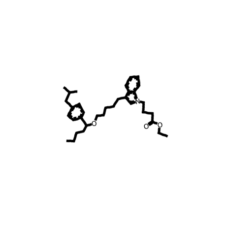 CCCCC(OCCCCCc1cn(CCCC(=O)OCC)c2ccccc12)c1ccc(CC(C)C)cc1